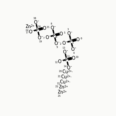 O=P([O-])([O-])[O-].O=P([O-])([O-])[O-].O=P([O-])([O-])[O-].O=P([O-])([O-])[O-].[Cu+2].[Cu+2].[Cu+2].[Zn+2].[Zn+2].[Zn+2]